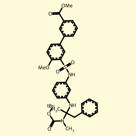 COC(=O)c1cccc(-c2ccc(OC)c(S(=O)(=O)Nc3cccc(NC(C)(Cc4ccccc4)N(C)C(=O)OC(C)(C)C)c3)c2)c1